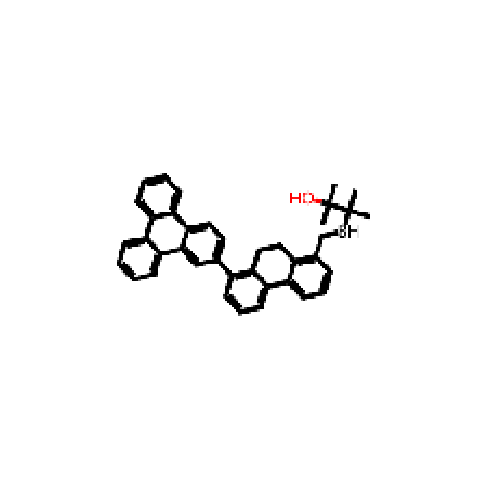 CC(C)(O)C(C)(C)BCc1cccc2c1CCc1c(-c3ccc4c5ccccc5c5ccccc5c4c3)cccc1-2